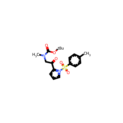 Cc1ccc(S(=O)(=O)n2cccc2C(=O)CN(C)C(=O)OC(C)(C)C)cc1